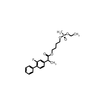 CCOP(C)(=O)OCCCCOC(=O)C(C)c1ccc(-c2ccccc2)c(F)c1